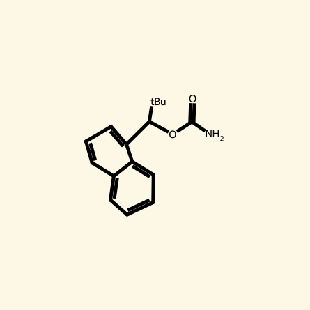 CC(C)(C)C(OC(N)=O)c1cccc2ccccc12